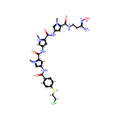 Cn1cc(NC(=O)c2cc(NC(=O)c3cc(NC(=O)c4ccc(SCCCl)cc4)cn3C)cn2C)cc1C(=O)NCCC(N)=NO